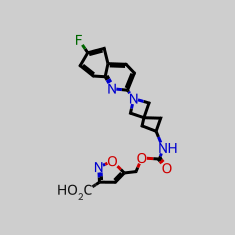 O=C(NC1CC2(C1)CN(c1ccc3cc(F)ccc3n1)C2)OCc1cc(C(=O)O)no1